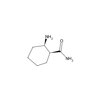 NC(=O)[C@H]1CCCC[C@H]1N